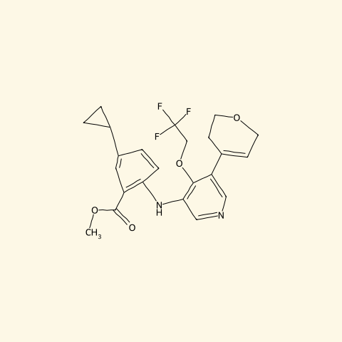 COC(=O)c1cc(C2CC2)ccc1Nc1cncc(C2=CCOCC2)c1OCC(F)(F)F